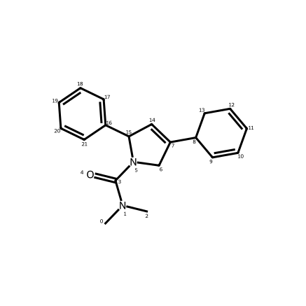 CN(C)C(=O)N1CC(C2C=CC=CC2)=CC1c1ccccc1